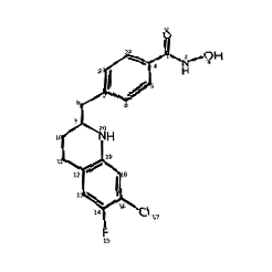 O=C(NO)c1ccc(CC2CCc3cc(F)c(Cl)cc3N2)cc1